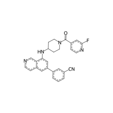 N#Cc1cccc(-c2cc(NC3CCN(C(=O)c4ccnc(F)c4)CC3)c3cnccc3c2)c1